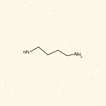 CCCCCC[CH2][AlH2]